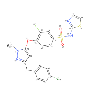 Cn1nc(Cc2ccc(Cl)cc2)cc1Oc1ccc(S(=O)(=O)Nc2nccs2)cc1F